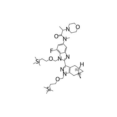 CC(C(=O)N(C)c1cc(F)c2c(c1)nc(-c1nn(COCC[Si](C)(C)C)c3c1C[C@@H]1C[C@]1(C)C3)n2COCC[Si](C)(C)C)N1CCOCC1